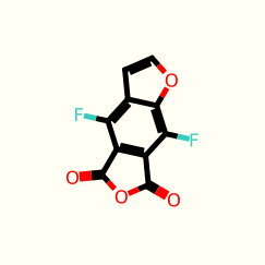 O=C1OC(=O)c2c1c(F)c1ccoc1c2F